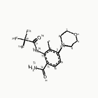 Cc1c(N2CCOCC2)ccc(C(N)=O)c1NC(=O)C(F)(F)F